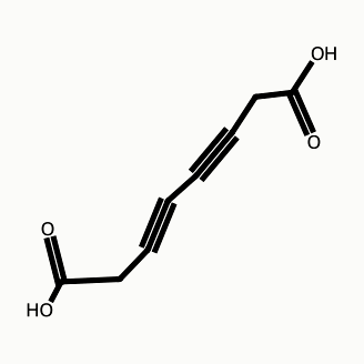 O=C(O)CC#CC#CCC(=O)O